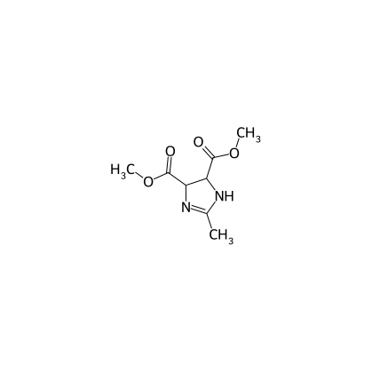 COC(=O)C1N=C(C)NC1C(=O)OC